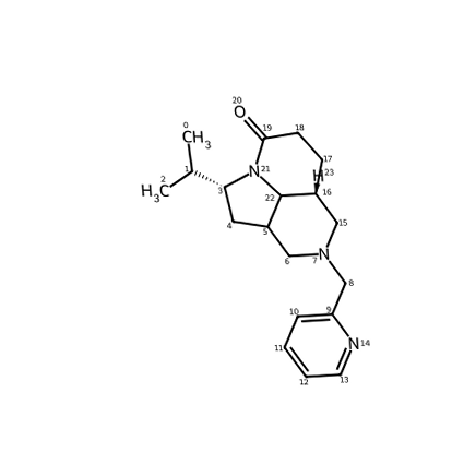 CC(C)[C@H]1CC2CN(Cc3ccccn3)C[C@H]3CCC(=O)N1C23